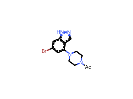 CC(=O)N1CCN(c2cc(Br)cc3[nH]ncc23)CC1